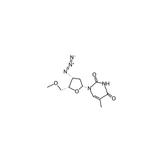 COC[C@H]1O[C@@H](n2cc(C)c(=O)[nH]c2=O)C[C@H]1N=[N+]=[N-]